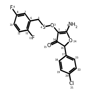 NC1=C(OSCc2cc(F)ccc2F)C(=O)C(c2ccc(Cl)cc2)O1